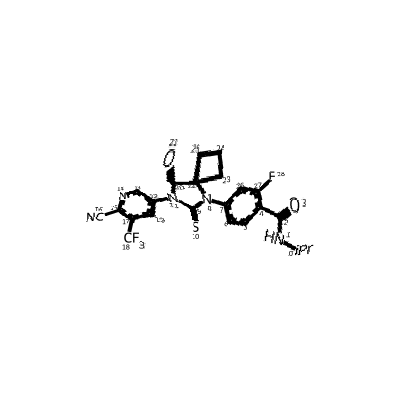 CC(C)NC(=O)c1ccc(N2C(=S)N(c3cnc(C#N)c(C(F)(F)F)c3)C(=O)C23CCC3)cc1F